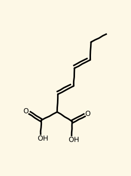 CC/C=C/C=C/C(C(=O)O)C(=O)O